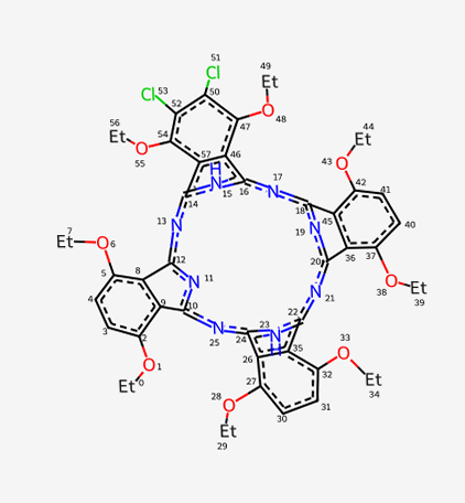 CCOc1ccc(OCC)c2c1-c1nc-2nc2[nH]c(nc3nc(nc4[nH]c(n1)c1c(OCC)ccc(OCC)c41)-c1c(OCC)ccc(OCC)c1-3)c1c(OCC)c(Cl)c(Cl)c(OCC)c21